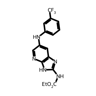 CCOC(=O)Nc1nc2cc(Nc3cccc(C(F)(F)F)c3)cnc2[nH]1